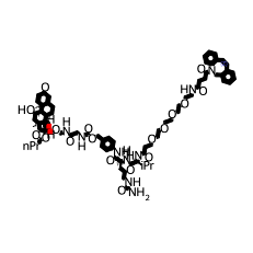 CCCC1O[C@@H]2CC3[C@@H]4CCC5=CC(=O)C=C[C@]5(C)C4[C@@H](O)C[C@]3(C)[C@]2(C(=O)COCNC(=O)CNC(=O)OCc2ccc(NC(=O)[C@H](CCCNC(N)=O)NC(=O)[C@@H](NC(=O)CCOCCOCCOCCOCCNC(=O)CCC(=O)N3Cc4ccccc4/C=C\c4ccccc43)C(C)C)cc2)O1